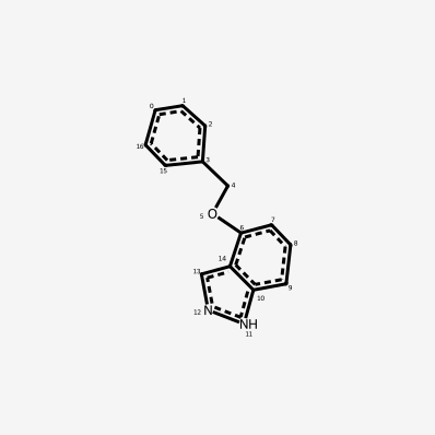 c1ccc(COc2cccc3[nH]ncc23)cc1